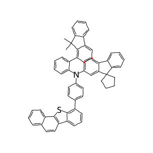 CC1(C)c2ccccc2-c2cccc(-c3ccccc3N(c3ccc(-c4cccc5c4sc4c6ccccc6ccc54)cc3)c3ccc4c(c3)C3(CCCC3)c3ccccc3-4)c21